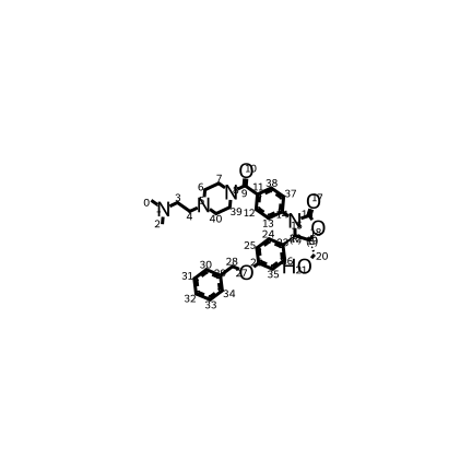 CN(C)CCN1CCN(C(=O)c2ccc(N3C(=O)O[C@H](CO)[C@H]3c3ccc(OCc4ccccc4)cc3)cc2)CC1